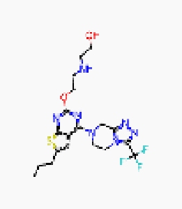 CCCc1cc2c(N3CCn4c(nnc4C(F)(F)F)C3)nc(OCCNCCO)nc2s1